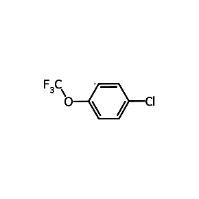 FC(F)(F)Oc1[c]cc(Cl)cc1